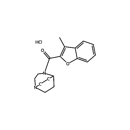 Cc1c(C(=O)N2CCN3CCC2CC3)oc2ccccc12.Cl